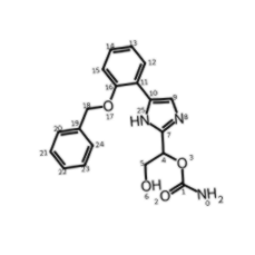 NC(=O)OC(CO)c1ncc(-c2ccccc2OCc2ccccc2)[nH]1